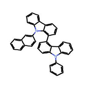 c1ccc(-n2c3ccccc3c3c(-c4cccc5c6ccccc6n(-c6ccc7ccccc7c6)c45)cccc32)cc1